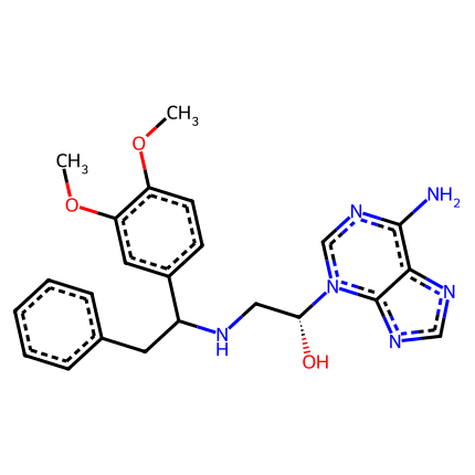 COc1ccc(C(Cc2ccccc2)NC[C@@H](O)n2cnc(N)c3ncnc2-3)cc1OC